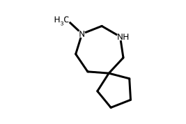 CN1CCC2(CCCC2)CNC1